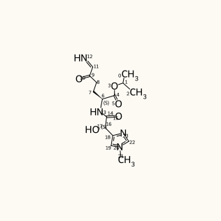 CC(C)OC(=O)[C@H](CCC(=O)C=N)NC(=O)[C@@H](O)c1cn(C)cn1